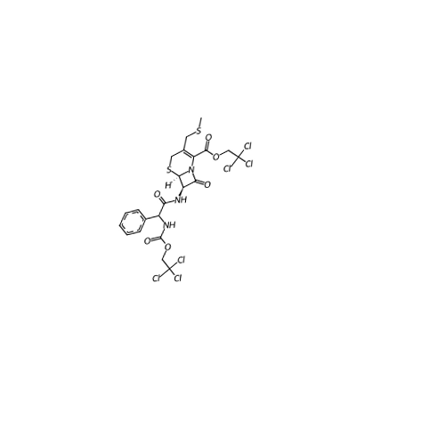 CSCC1=C(C(=O)OCC(Cl)(Cl)Cl)N2C(=O)[C@@H](NC(=O)C(NC(=O)OCC(Cl)(Cl)Cl)c3ccccc3)[C@H]2SC1